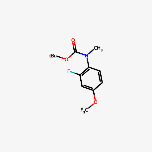 CN(C(=O)OC(C)(C)C)c1ccc(OC(F)(F)F)cc1F